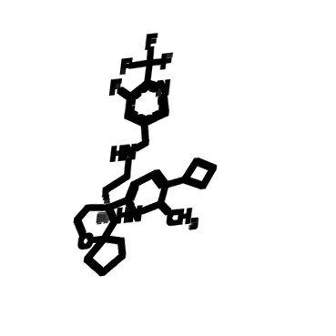 CC1NC([C@]2(CCNCc3cnc(C(F)(F)F)c(F)c3)CCOC3(CCCC3)C2)=CC=C1C1CCC1